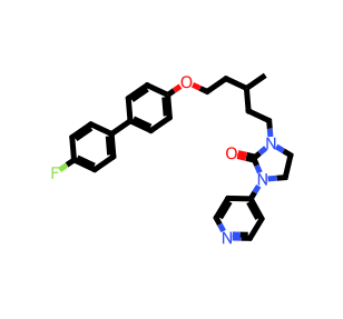 CC(CCOc1ccc(-c2ccc(F)cc2)cc1)CCN1CCN(c2ccncc2)C1=O